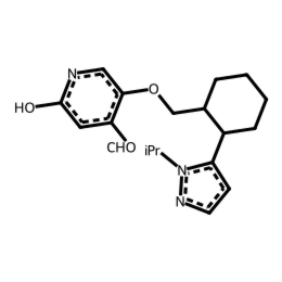 CC(C)n1nccc1C1CCCCC1COc1cnc(O)cc1C=O